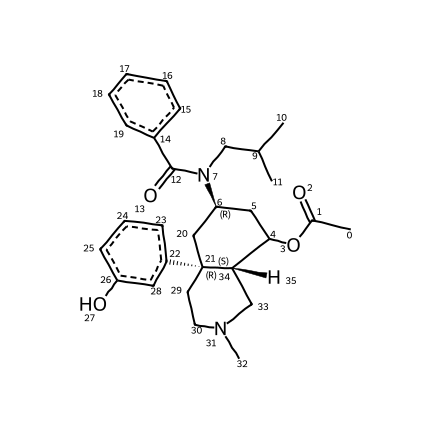 CC(=O)OC1C[C@H](N(CC(C)C)C(=O)c2ccccc2)C[C@]2(c3cccc(O)c3)CCN(C)C[C@@H]12